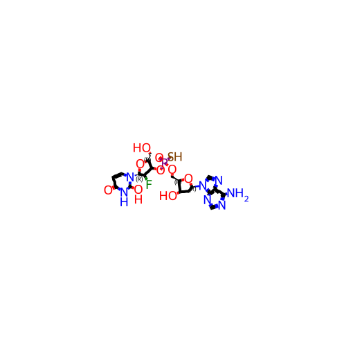 Nc1ncnc2c1ncn2[C@H]1CC(O)[C@@H](COP(=O)(S)OC2C(F)[C@H](N3C=CC(=O)NC3O)O[C@@H]2CO)O1